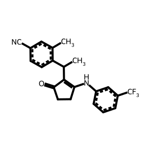 Cc1cc(C#N)ccc1C(C)C1=C(Nc2cccc(C(F)(F)F)c2)CCC1=O